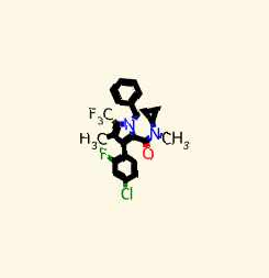 Cc1c(-c2ccc(Cl)cc2F)c(C(=O)N(C)C2CC2)n(Cc2ccccc2)c1C(F)(F)F